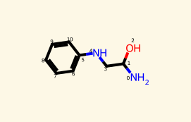 NC(O)CNc1ccccc1